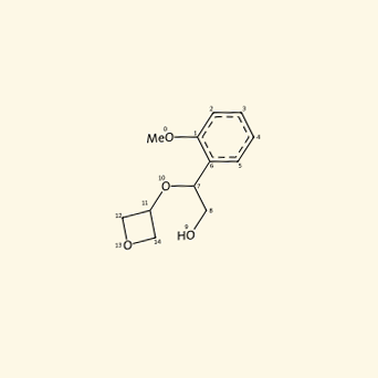 COc1ccccc1C(CO)OC1COC1